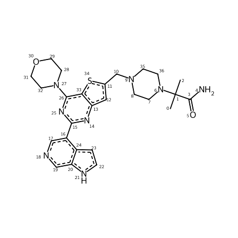 CC(C)(C(N)=O)N1CCN(Cc2cc3nc(-c4cncc5[nH]ccc45)nc(N4CCOCC4)c3s2)CC1